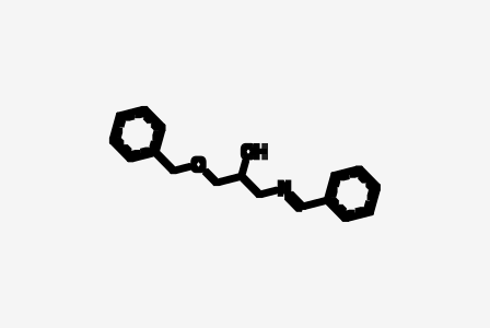 OC(CN=Cc1ccccc1)COCc1ccccc1